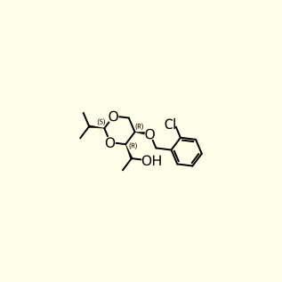 CC(C)[C@H]1OC[C@@H](OCc2ccccc2Cl)[C@@H](C(C)O)O1